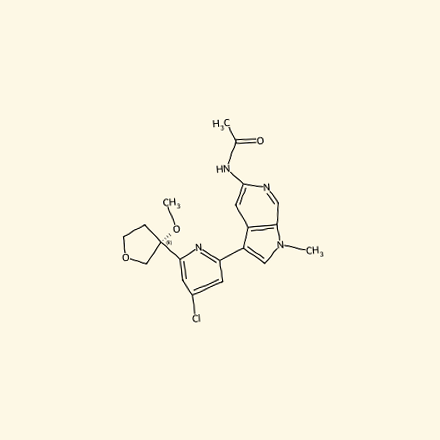 CO[C@@]1(c2cc(Cl)cc(-c3cn(C)c4cnc(NC(C)=O)cc34)n2)CCOC1